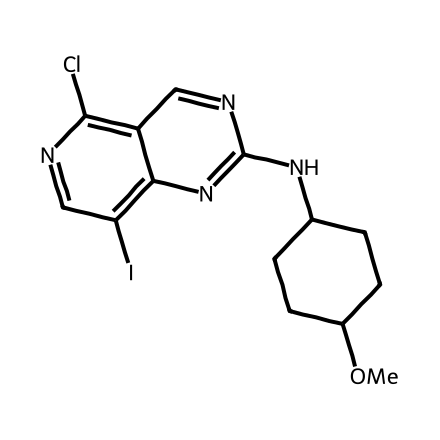 COC1CCC(Nc2ncc3c(Cl)ncc(I)c3n2)CC1